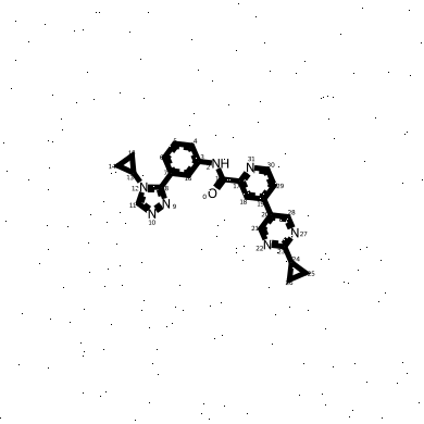 O=C(Nc1cccc(-c2nncn2C2CC2)c1)c1cc(-c2cnc(C3CC3)nc2)ccn1